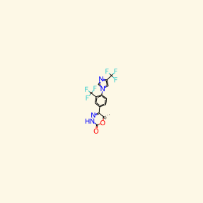 C[C@@H]1OC(=O)NN=C1c1ccc(-n2cnc(C(F)(F)F)c2)c(C(F)(F)F)c1